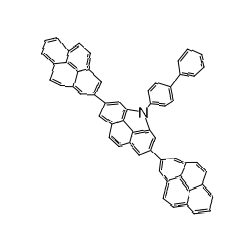 c1ccc(-c2ccc(-n3c4cc(-c5cc6ccc7cccc8ccc(c5)c6c78)cc5ccc6cc(-c7cc8ccc9cccc%10ccc(c7)c8c9%10)cc3c6c54)cc2)cc1